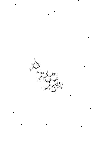 CC1n2cc(C(=O)NCc3ccc(F)cc3F)c(=O)c(O)c2C(=O)C(C)(C)C12CCCO2